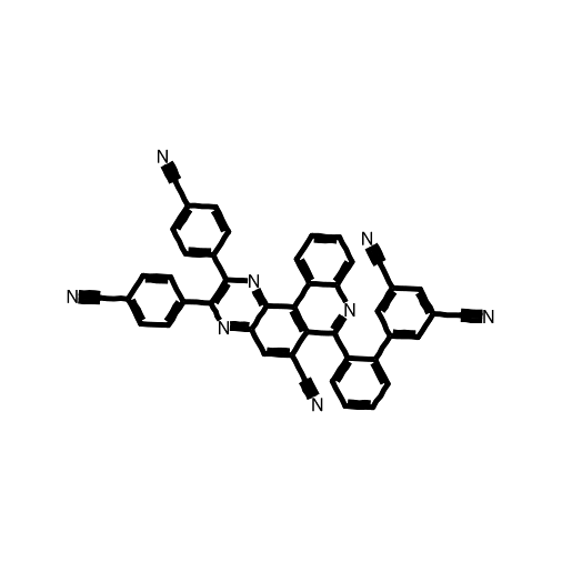 N#Cc1ccc(-c2nc3cc(C#N)c4c(-c5ccccc5-c5cc(C#N)cc(C#N)c5)nc5ccccc5c4c3nc2-c2ccc(C#N)cc2)cc1